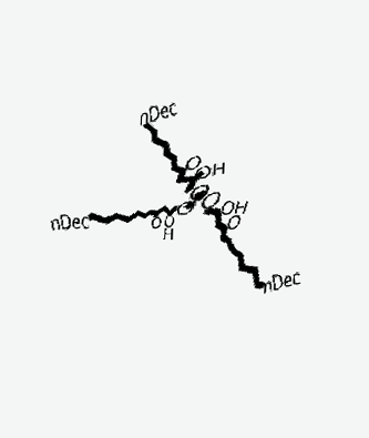 CCCCCCCCCCCCCCCCCC(=O)CC(O)COP(OCC(O)CC(=O)CCCCCCCCCCCCCCCCC)OCC(O)CC(=O)CCCCCCCCCCCCCCCCC